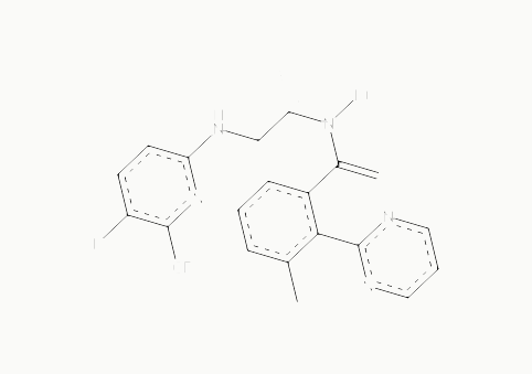 C=C(c1cccc(C)c1-c1ncccn1)N(CC)[C@@H](C)CNc1ccc(F)c(C(F)(F)F)n1